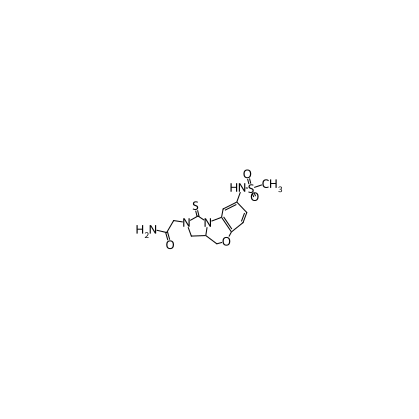 CS(=O)(=O)Nc1ccc2c(c1)N1C(=S)N(CC(N)=O)CC1CO2